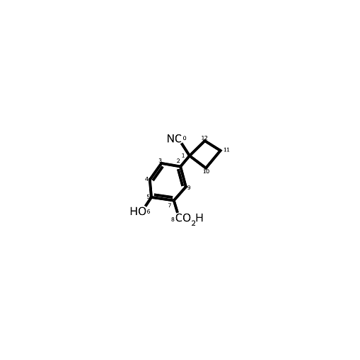 N#CC1(c2ccc(O)c(C(=O)O)c2)CCC1